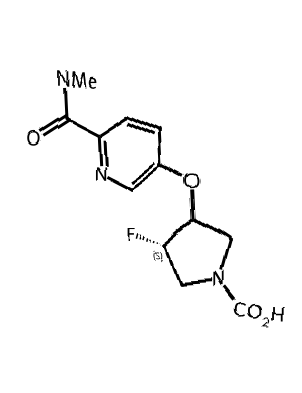 CNC(=O)c1ccc(OC2CN(C(=O)O)C[C@@H]2F)cn1